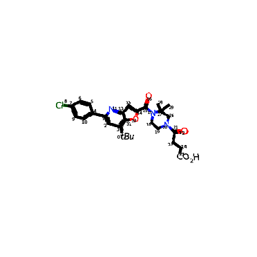 CC(C)(C)c1cc(-c2ccc(Cl)cc2)nc2cc(C(=O)N3CCN(C(=O)CCC(=O)O)CC3(C)C)oc12